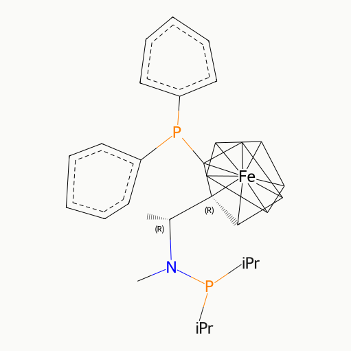 CC(C)P(C(C)C)N(C)[C@H](C)[C@@]12[CH]3[CH]4[CH]5[C]1(P(c1ccccc1)c1ccccc1)[Fe]45321678[CH]2[CH]1[CH]6[CH]7[CH]28